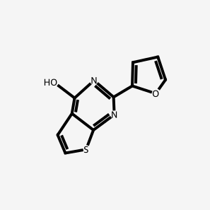 Oc1nc(-c2ccco2)nc2sccc12